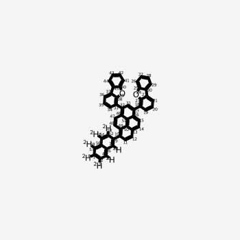 [2H]c1c([2H])c([2H])c2c([2H])c(-c3ccc4ccc5c(-c6cccc7c6oc6ccccc67)cc(-c6cccc7c6oc6ccccc67)c6ccc3c4c56)c([2H])c([2H])c2c1[2H]